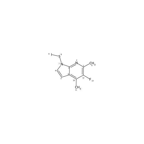 Cc1nc2c(ccn2SI)c(C)c1F